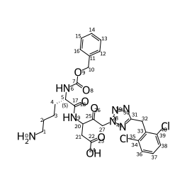 NCCCC[C@H](NC(=O)OCc1ccccc1)C(=O)NC(CC(=O)O)C(=O)Cn1nnc(Cc2c(Cl)cccc2Cl)n1